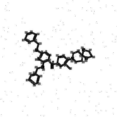 Cc1cc(Nc2ccc(OCc3ccccc3)nc2OCc2ccccc2)ccc1N1CCC2(CC1)OCCO2